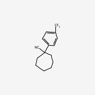 N#CC1(c2ccc(C(F)(F)F)cc2)CCCCCC1